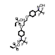 C=CS(=O)(=O)O.C=CS(=O)(=O)O/N=C(/c1ccc(OCCCOc2ccc(/C(=N/O)C(F)(F)F)cc2)cc1)C(F)(F)F